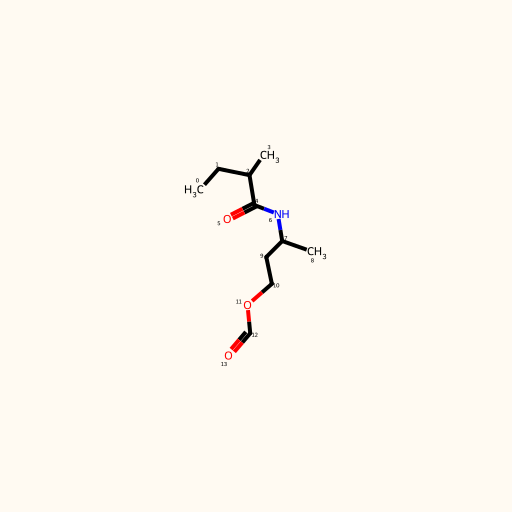 CCC(C)C(=O)NC(C)CCOC=O